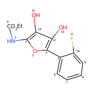 CCOC(=O)Nc1oc(-c2ccccc2F)c(O)c1O